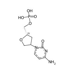 Nc1ccn(C2CO[C@H](COP(=O)(O)O)C2)c(=O)n1